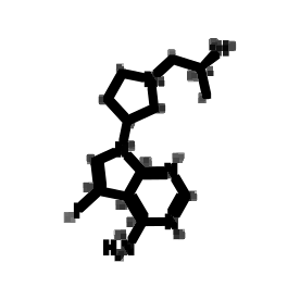 [2H][C@@H](C)CN1CCC(n2cc(I)c3c(N)ncnc32)C1